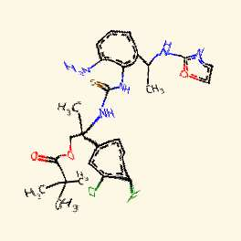 CC(Nc1ncco1)c1cccc(N)c1NC(=S)NC(C)(COC(=O)C(C)(C)C)c1ccc(F)c(Cl)c1